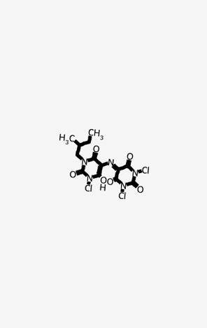 CCC(C)Cn1c(=O)c(N=C2C(=O)N(Cl)C(=O)N(Cl)C2=O)c(O)n(Cl)c1=O